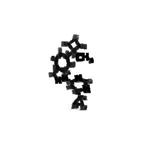 CC1(c2ccc3cnn(-c4cc(C5CC5)ncn4)c3c2)CCC1